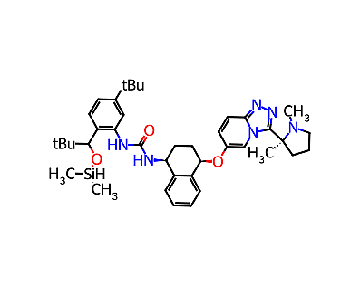 CN1CCC[C@@]1(C)c1nnc2ccc(O[C@@H]3CC[C@H](NC(=O)Nc4cc(C(C)(C)C)ccc4C(O[SiH](C)C)C(C)(C)C)c4ccccc43)cn12